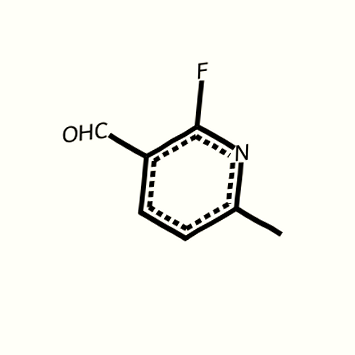 Cc1ccc(C=O)c(F)n1